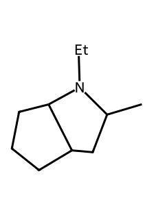 CCN1C(C)CC2CCCC21